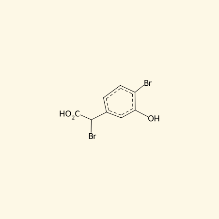 O=C(O)C(Br)c1ccc(Br)c(O)c1